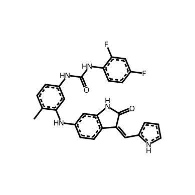 Cc1ccc(NC(=O)Nc2ccc(F)cc2F)cc1Nc1ccc2c(c1)NC(=O)/C2=C\c1ccc[nH]1